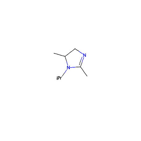 CC1=NCC(C)N1C(C)C